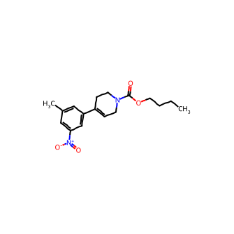 CCCCOC(=O)N1CC=C(c2cc(C)cc([N+](=O)[O-])c2)CC1